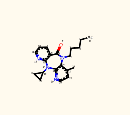 CC(=O)CCCCN1C(=O)c2cccnc2N(C2CC2)c2nccc(C)c21